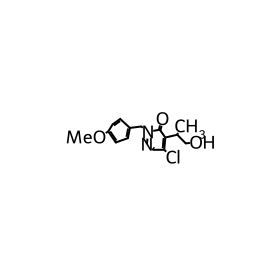 COc1ccc(Cn2ncc(Cl)c(C(C)CO)c2=O)cc1